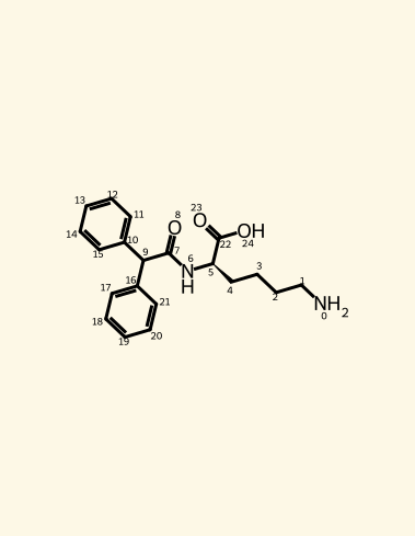 NCCCC[C@@H](NC(=O)C(c1ccccc1)c1ccccc1)C(=O)O